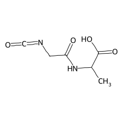 CC(NC(=O)CN=C=O)C(=O)O